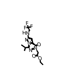 CCOC(=O)Cn1nc(C(C)C)n2nc(NCC(F)(F)F)cc2c1=O